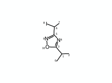 CC(C)c1nc(C(C)I)no1